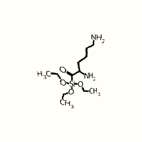 CCO[Si](OCC)(OCC)C(=O)C(N)CCCCN